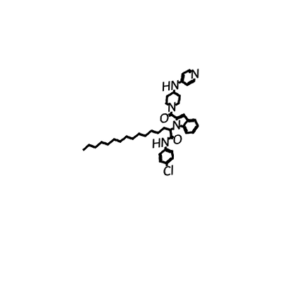 CCCCCCCCCCCCCCC(C(=O)Nc1ccc(Cl)cc1)n1c(C(=O)N2CCC(Nc3ccncc3)CC2)cc2ccccc21